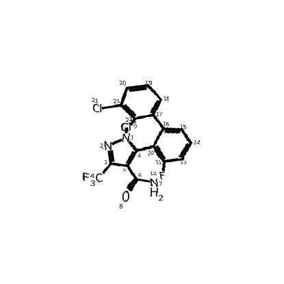 Cn1nc(C(F)(F)F)c(C(N)=O)c1-c1c(F)cccc1-c1cccc(Cl)c1Cl